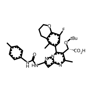 Cc1ccc(NC(=O)Nc2cc3nc(C)c([C@H](OC(C)(C)C)C(=O)O)c(-c4cc(F)c5c(c4C)CCCO5)n3n2)cc1